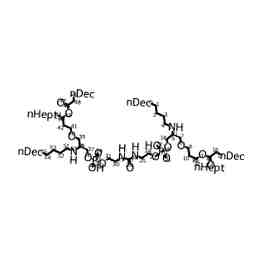 CCCCCCCCCCCCCCN[C@@H](COCC[C@@H](CCCCCCC)OC(=O)CCCCCCCCCCC)COP(=O)(O)OCCNC(=O)NCCOP(=O)(O)OC[C@H](COCC[C@@H](CCCCCCC)OC(=O)CCCCCCCCCCC)NCCCCCCCCCCCCCC